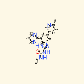 CCNC(=O)Nc1nc2cc(-c3ccc(C)nc3)cc(-c3ncccn3)c2[nH]1